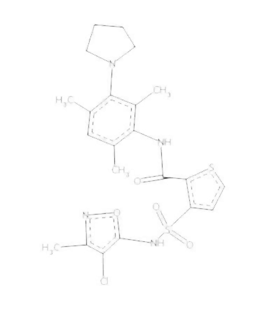 Cc1cc(C)c(N2CCCC2)c(C)c1NC(=O)c1sccc1S(=O)(=O)Nc1onc(C)c1Cl